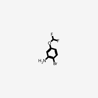 Nc1cc(OC(F)F)ccc1Br